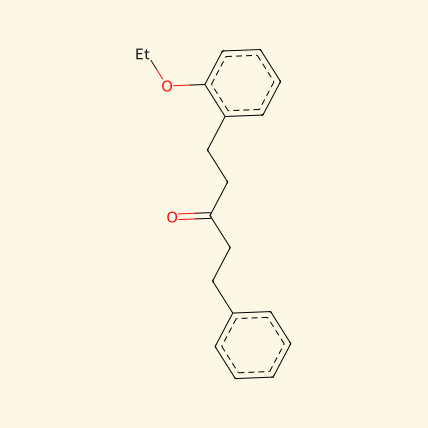 CCOc1ccccc1CCC(=O)CCc1ccccc1